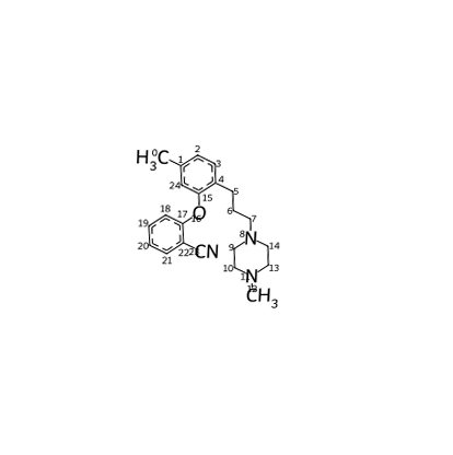 Cc1ccc(CCCN2CCN(C)CC2)c(Oc2ccccc2C#N)c1